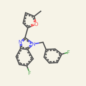 Cc1ccc(-c2nc3ccc(F)cc3n2Cc2cccc(F)c2)o1